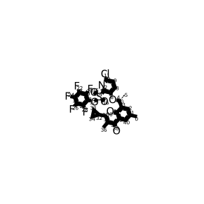 Cc1cc([C@@H](C)Oc2ccc(Cl)nc2S(=O)(=O)Oc2c(F)c(F)c(F)c(F)c2F)c2oc(C3CC3)c(C)c(=O)c2c1